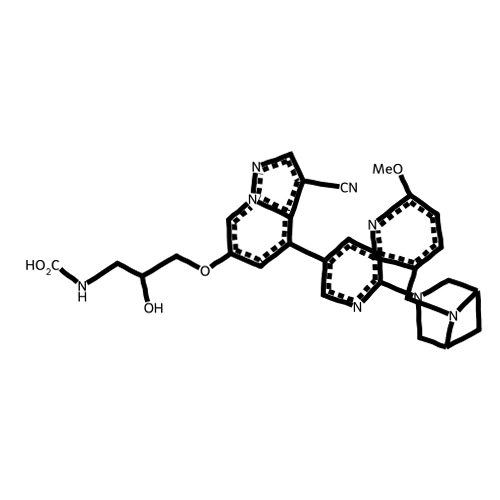 COc1ccc(CN2C3CC2CN(c2ccc(-c4cc(OCC(O)CNC(=O)O)cn5ncc(C#N)c45)cn2)C3)cn1